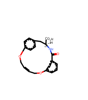 O=C1N[C@H](C(=O)O)Cc2ccc(cc2)OCC=CCOc2cccc1c2